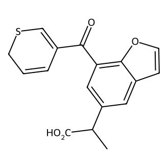 CC(C(=O)O)c1cc(C(=O)C2=CSCC=C2)c2occc2c1